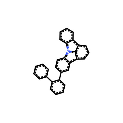 c1ccc(-c2ccccc2-c2ccc3c(c2)c2cccc4c5ccccc5n3c42)cc1